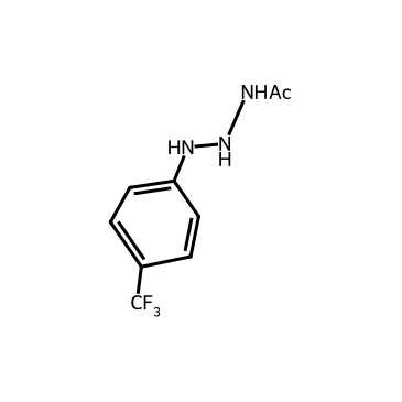 CC(=O)NNNc1ccc(C(F)(F)F)cc1